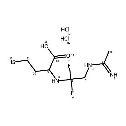 CC(=N)NCC(F)(F)NC(CCS)C(=O)O.Cl.Cl